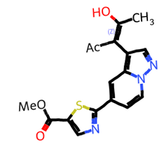 COC(=O)c1cnc(-c2ccn3ncc(/C(C(C)=O)=C(\C)O)c3c2)s1